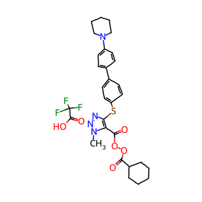 Cn1nnc(Sc2ccc(-c3ccc(N4CCCCC4)cc3)cc2)c1C(=O)OOC(=O)C1CCCCC1.O=C(O)C(F)(F)F